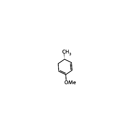 COC1=CC[C@H](C)C=C1